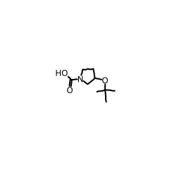 CC(C)(C)OC1CCN(C(=O)O)C1